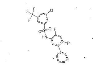 O=S(=O)(Nc1cc(-c2ccccc2)c(F)cc1F)c1cc(Cl)cc(C(F)(F)F)c1